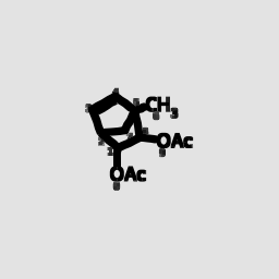 CC(=O)OC1C2C=CC(C)(C2)C1OC(C)=O